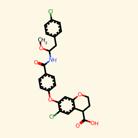 COC(Cc1ccc(Cl)cc1)NC(=O)c1ccc(Oc2cc3c(cc2Cl)C(C(=O)O)CCO3)cc1